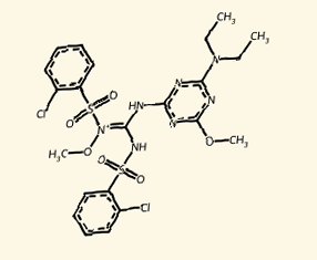 CCN(CC)c1nc(NC(NS(=O)(=O)c2ccccc2Cl)=[N+](OC)S(=O)(=O)c2ccccc2Cl)nc(OC)n1